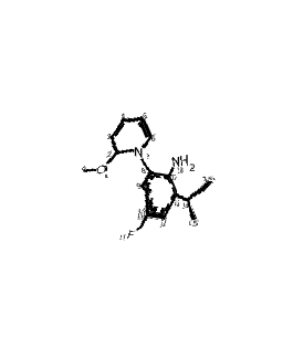 COC1C=CC=CN1c1cc(F)cc(C(C)C)c1N